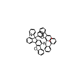 c1ccc(-c2ccccc2N(c2cccc3c2oc2ccccc23)c2cc3c(c4oc5ccccc5c24)-c2ccccc2C3(c2ccccc2)c2ccccn2)cc1